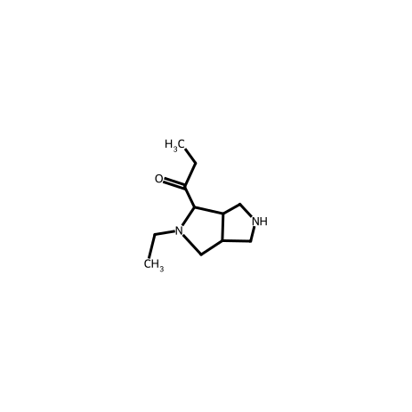 CCC(=O)C1C2CNCC2CN1CC